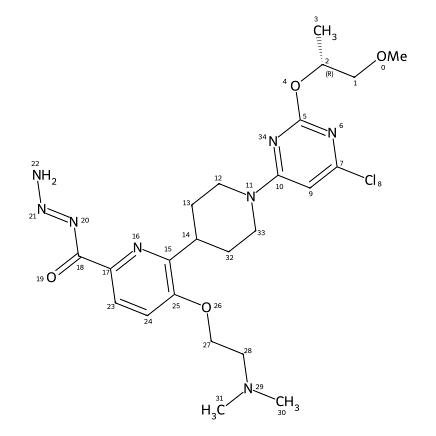 COC[C@@H](C)Oc1nc(Cl)cc(N2CCC(c3nc(C(=O)N=NN)ccc3OCCN(C)C)CC2)n1